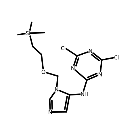 C[Si](C)(C)CCOCn1cncc1Nc1nc(Cl)nc(Cl)n1